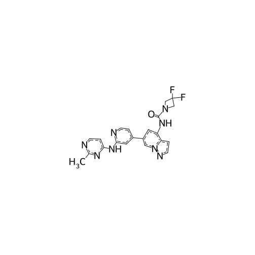 Cc1nccc(Nc2cc(-c3cc(NC(=O)N4CC(F)(F)C4)c4ccnn4c3)ccn2)n1